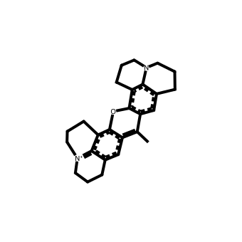 CC1=c2cc3c4c(c2Oc2c1cc1c5c2CCCN5CCC1)CCC[N+]=4CCC3